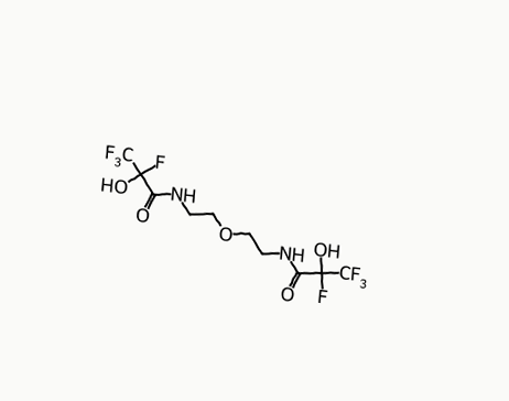 O=C(NCCOCCNC(=O)C(O)(F)C(F)(F)F)C(O)(F)C(F)(F)F